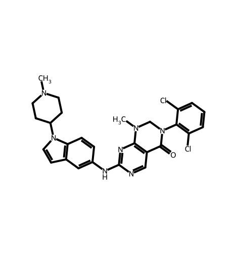 CN1CCC(n2ccc3cc(Nc4ncc5c(n4)N(C)CN(c4c(Cl)cccc4Cl)C5=O)ccc32)CC1